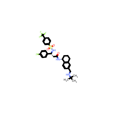 CC(C)(C)NCc1ccc2c(c1)CCC[C@H]2NC(=O)C[C@@H](NS(=O)(=O)c1ccc(C(F)(F)F)cc1)c1ccc(F)cc1